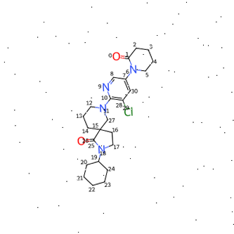 O=C1CCCCN1c1cnc(N2CCCC3(CCN(C4CCCCC4)C3=O)C2)c(Cl)c1